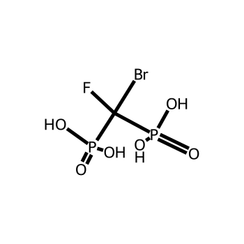 O=P(O)(O)C(F)(Br)P(=O)(O)O